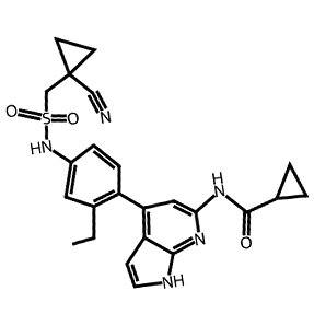 CCc1cc(NS(=O)(=O)CC2(C#N)CC2)ccc1-c1cc(NC(=O)C2CC2)nc2[nH]ccc12